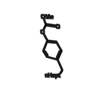 CCCCCCCCc1ccc(OC(=O)OC)cc1